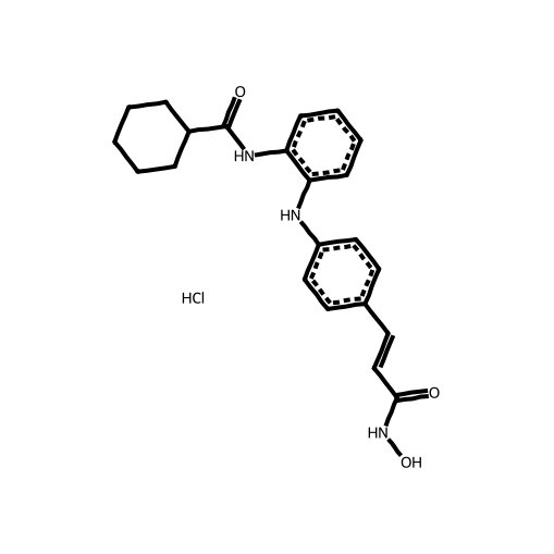 Cl.O=C(/C=C/c1ccc(Nc2ccccc2NC(=O)C2CCCCC2)cc1)NO